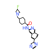 O=C(Nc1cc2cc(-c3cnccn3)ccc2cn1)C1CCC(CN2CC(F)C2)CC1